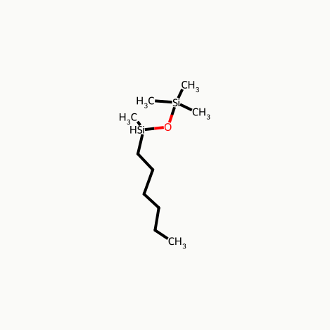 CCCCCC[SiH](C)O[Si](C)(C)C